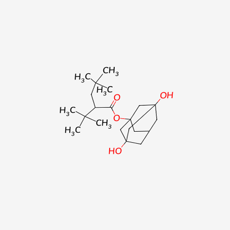 CC(C)(C)CC(C(=O)OC12CC3CC(O)(CC(O)(C3)C1)C2)C(C)(C)C